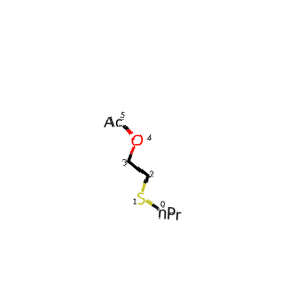 CCCSCCOC(C)=O